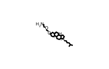 CC(C)CCCC[C@H]1CCC2[C@@H]3CC=C4C[C@@H](OCCOCCN)CC[C@]4(C)C3CC[C@@]21C